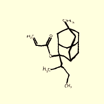 C=CC(=O)OC1(C(C)CC)C2CC3CC1CC(C)(C3)C2